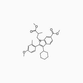 COC(=O)c1ccc2c(C3CCCCC3)c(-c3ccc(OC)cc3C)n(CC(C)C(=O)OC)c2c1